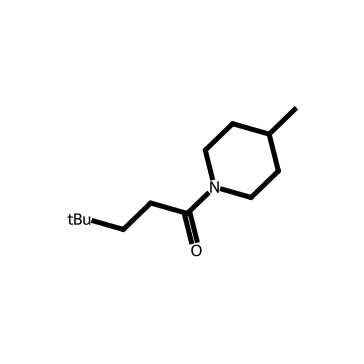 CC1CCN(C(=O)CCC(C)(C)C)CC1